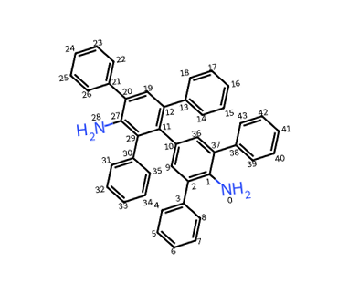 Nc1c(-c2ccccc2)cc(-c2c(-c3ccccc3)cc(-c3ccccc3)c(N)c2-c2ccccc2)cc1-c1ccccc1